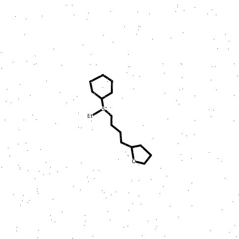 CC[S+](CCCCC1CCCO1)C1CCCCC1